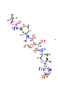 CC(C)(C)OC(=O)Nc1cccc(N2CCO[C@H]([C@@H](O)C(=O)Nc3ccc(-c4noc(=O)[nH]4)cc3)C2=O)c1